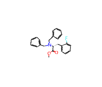 COC(=O)[C@@H](Cc1ccccc1F)N(Cc1ccccc1)Cc1ccccc1